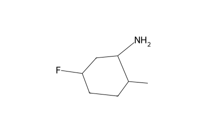 CC1CCC(F)CC1N